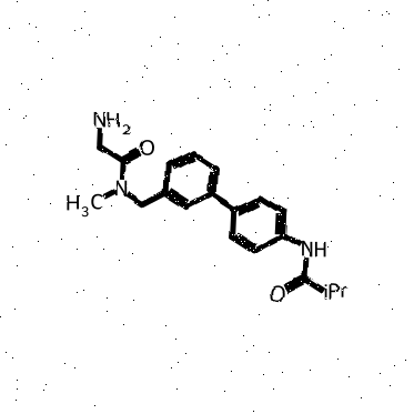 CC(C)C(=O)Nc1ccc(-c2cccc(CN(C)C(=O)CN)c2)cc1